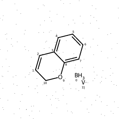 B.C1=Cc2ccccc2OC1.[V]